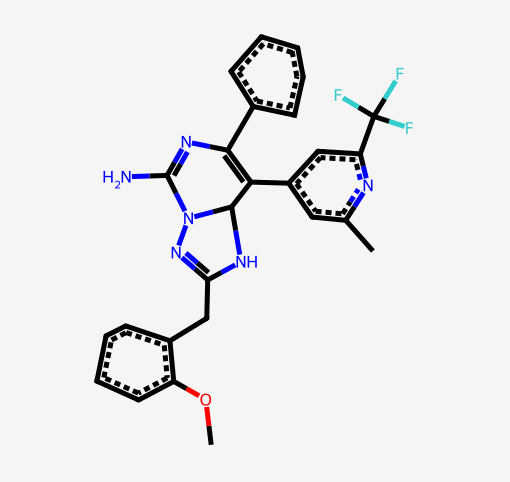 COc1ccccc1CC1=NN2C(N)=NC(c3ccccc3)=C(c3cc(C)nc(C(F)(F)F)c3)C2N1